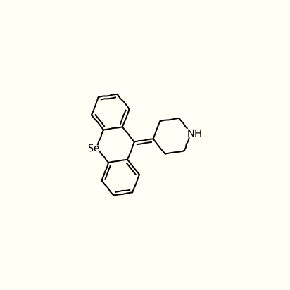 c1ccc2c(c1)[Se]c1ccccc1C2=C1CCNCC1